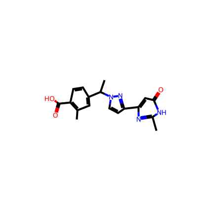 Cc1nc(-c2ccn(C(C)c3ccc(C(=O)O)c(C)c3)n2)cc(=O)[nH]1